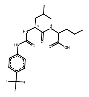 CCCC(NC(=O)[C@H](CC(C)C)NC(=O)Nc1ccc(C(F)(F)F)cc1)C(=O)O